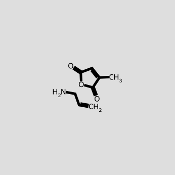 C=CCN.CC1=CC(=O)OC1=O